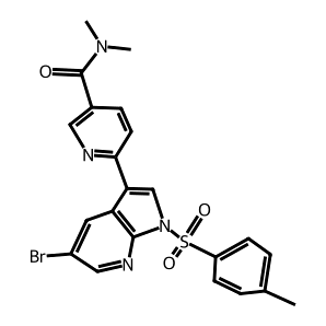 Cc1ccc(S(=O)(=O)n2cc(-c3ccc(C(=O)N(C)C)cn3)c3cc(Br)cnc32)cc1